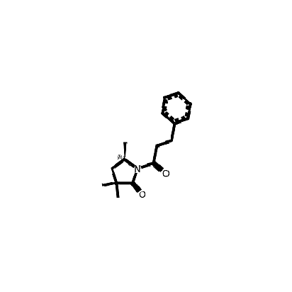 C[C@@H]1CC(C)(C)C(=O)N1C(=O)CCc1ccccc1